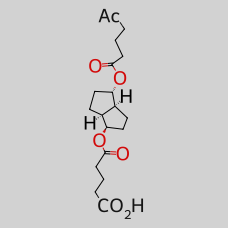 CC(=O)CCCC(=O)O[C@H]1CC[C@H]2[C@@H]1CC[C@H]2OC(=O)CCCC(=O)O